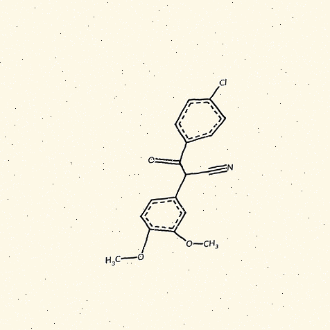 COc1ccc(C(C#N)C(=O)c2ccc(Cl)cc2)cc1OC